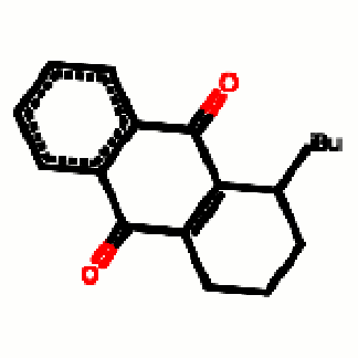 CCC(C)C1CCCC2=C1C(=O)c1ccccc1C2=O